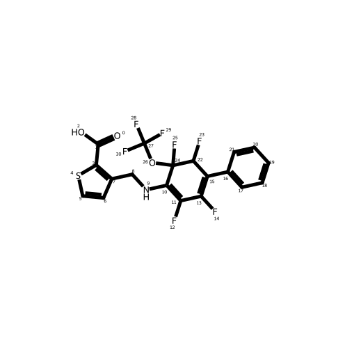 O=C(O)c1sccc1CNC1=C(F)C(F)=C(c2ccccc2)C(F)C1(F)OC(F)(F)F